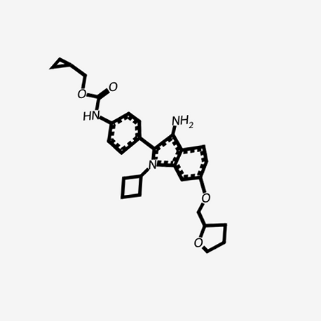 Nc1c(-c2ccc(NC(=O)OCC3CC3)cc2)n(C2CCC2)c2cc(OCC3CCCO3)ccc12